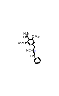 COc1cc(C/C(C#N)=C/Nc2ccccc2)cc(OC)c1C(N)=O